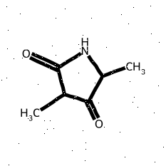 CC1NC(=O)C(C)C1=O